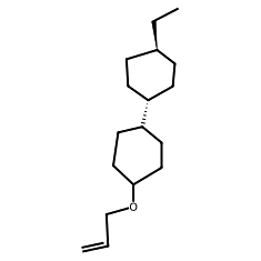 C=CCOC1CCC([C@H]2CC[C@H](CC)CC2)CC1